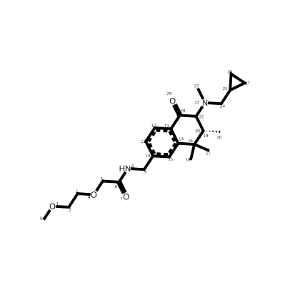 COCCOCC(=O)NCc1ccc2c(c1)C(C)(C)[C@@H](C)C(N(C)CC1CC1)C2=O